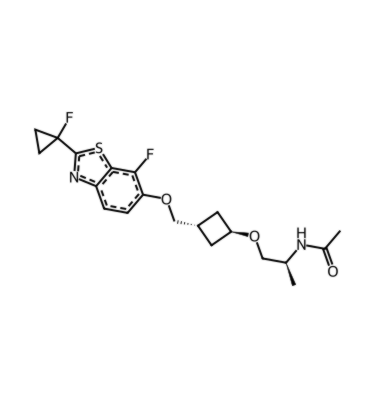 CC(=O)N[C@@H](C)CO[C@H]1C[C@H](COc2ccc3nc(C4(F)CC4)sc3c2F)C1